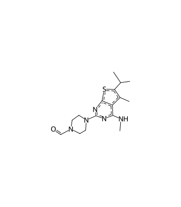 CNc1nc(N2CCN(C=O)CC2)nc2sc(C(C)C)c(C)c12